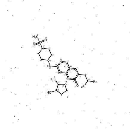 C[C@@H]1[C@H](O)CC[C@H]1n1c(=O)c(CC(F)F)cc2cnc(NC3CCN(S(C)(=O)=O)CC3)nc21